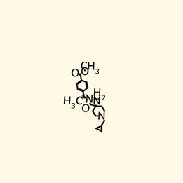 COC(=O)c1ccc([C@H](C)NC(=O)C2(N)CCN(CC3CC3)CC2)cc1